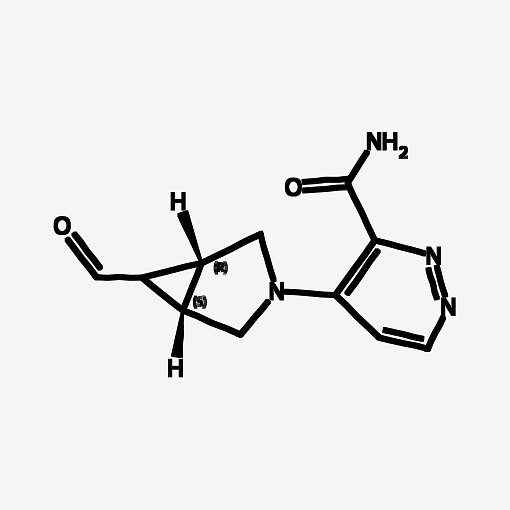 NC(=O)c1nnccc1N1C[C@@H]2C(C=O)[C@@H]2C1